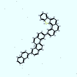 c1ccc2cc(-c3ccc4ccc5c6cc(-c7ccc8ccc9ccc%10c%11ccccc%11sc%10c9c8c7)ccc6ccc5c4c3)ccc2c1